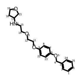 c1ccc(COc2ccc(OCCOCCNC3CCOC3)cc2)cc1